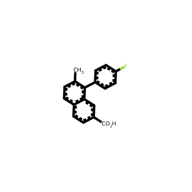 Cc1ccc2ccc(C(=O)O)cc2c1-c1ccc(F)cc1